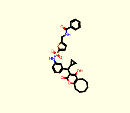 O=C(NCc1ccc(S(=O)(=O)Nc2cccc(C(c3c(O)c4c(oc3=O)CCCCCC4)C3CC3)c2)s1)c1ccccc1